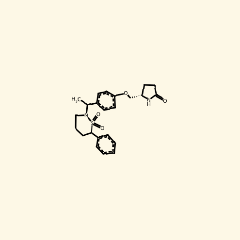 CC(c1ccc(OC[C@@H]2CCC(=O)N2)cc1)N1CCCC(c2ccccc2)S1(=O)=O